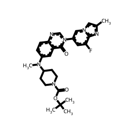 Cc1cn2cc(-n3cnc4ccc(N(C)C5CCN(C(=O)OC(C)(C)C)CC5)cc4c3=O)cc(F)c2n1